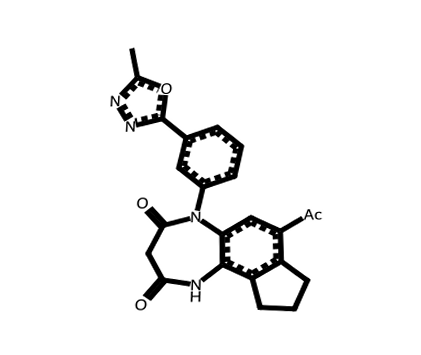 CC(=O)c1cc2c(c3c1CCC3)NC(=O)CC(=O)N2c1cccc(-c2nnc(C)o2)c1